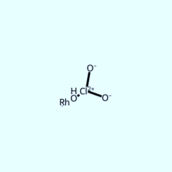 [O-][Cl+2]([O-])O.[Rh]